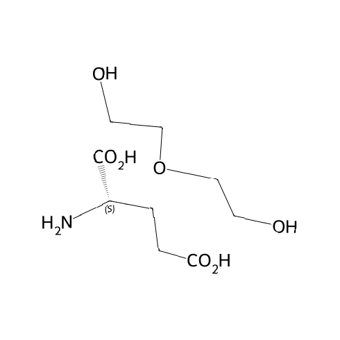 N[C@@H](CCC(=O)O)C(=O)O.OCCOCCO